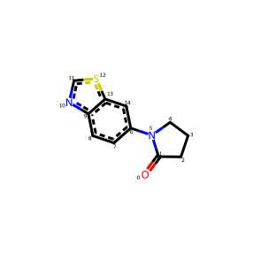 O=C1CCCN1c1ccc2ncsc2c1